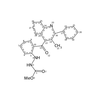 COC(=O)NNc1ccccc1C(=O)c1c(C)c(-c2ccccc2)nc2ccccc12